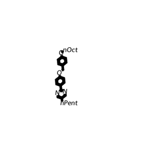 CCCCCCCCOc1ccc(COc2ccc(-c3ncc(CCCCC)cn3)cc2)cc1